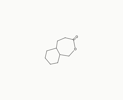 O=C1CCC2CCCCC2CO1